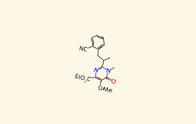 CCOC(=O)c1nc(C(C)Cc2ccccc2C#N)n(C)c(=O)c1OC